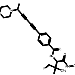 CC(C#CC#Cc1ccc(C(=O)NC(C(=O)NO)C(C)(O)CF)cc1)N1CCOCC1